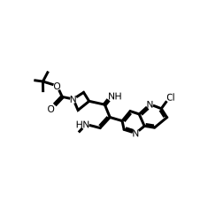 CN/C=C(\C(=N)C1CN(C(=O)OC(C)(C)C)C1)c1cnc2ccc(Cl)nc2c1